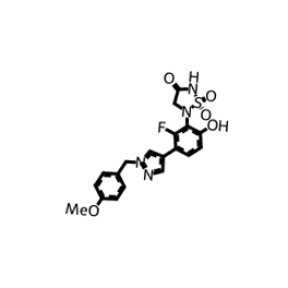 COc1ccc(Cn2cc(-c3ccc(O)c(N4CC(=O)NS4(=O)=O)c3F)cn2)cc1